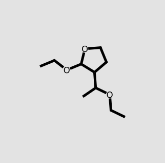 CCOC(C)C1CCOC1OCC